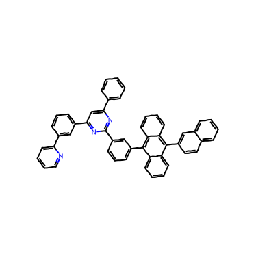 c1ccc(-c2cc(-c3cccc(-c4ccccn4)c3)nc(-c3cccc(-c4c5ccccc5c(-c5ccc6ccccc6c5)c5ccccc45)c3)n2)cc1